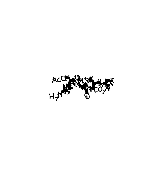 CC(=O)O/N=C(/C(=O)NC1C(=O)N2C(C(=O)O)=C(CSc3ncns3)CS[C@H]12)c1csc(N)n1